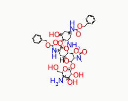 CN1C(=O)OC2C3O[C@H](O[C@@H]4C(N)C[C@@H](NC(=O)OCc5ccccc5)C[C@H]4O)[C@@H](NC(=O)OCc4ccccc4)C[C@@H]3OC(O[C@H]3OC(CO)[C@@H](N)[C@H](O)C3O)C21